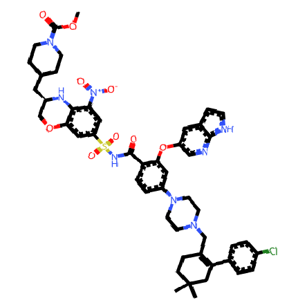 COC(=O)N1CCC(C[C@@H]2COc3cc(S(=O)(=O)NC(=O)c4ccc(N5CCN(CC6=C(c7ccc(Cl)cc7)CC(C)(C)CC6)CC5)cc4Oc4cnc5[nH]ccc5c4)cc([N+](=O)[O-])c3N2)CC1